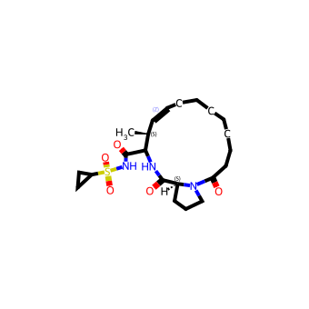 C[C@H]1/C=C\CCCCCCCC(=O)N2CCC[C@H]2C(=O)NC1C(=O)NS(=O)(=O)C1CC1